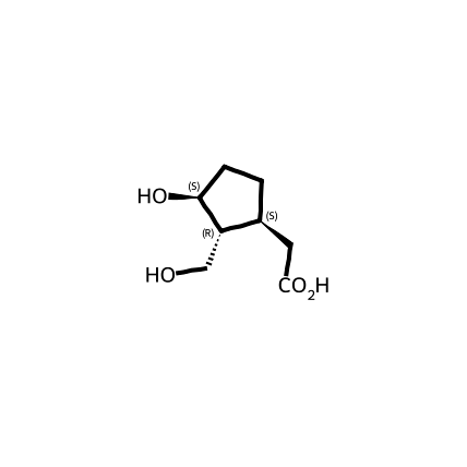 O=C(O)C[C@@H]1CC[C@H](O)[C@H]1CO